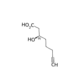 C#CCCC[C@@H](O)CC(=O)O